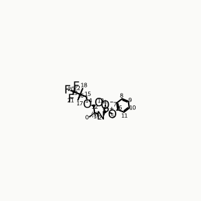 C[C@H](N=[P+]([O-])Oc1ccccc1)C(=O)OCC(C)(C)C(F)(F)F